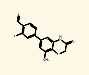 Cc1cc(-c2ccc(C=O)c(F)c2)cc2c1OCC(=O)N2